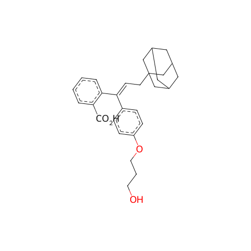 O=C(O)c1ccccc1C(=CCC12CC3CC(CC(C3)C1)C2)c1ccc(OCCCO)cc1